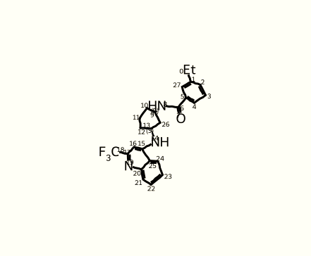 CCc1cccc(C(=O)N[C@@H]2CCC[C@H](Nc3cc(C(F)(F)F)nc4ccccc34)C2)c1